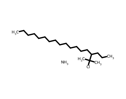 CCCCCCCCCCCCCCC(CCC)C(C)(C)Cl.N